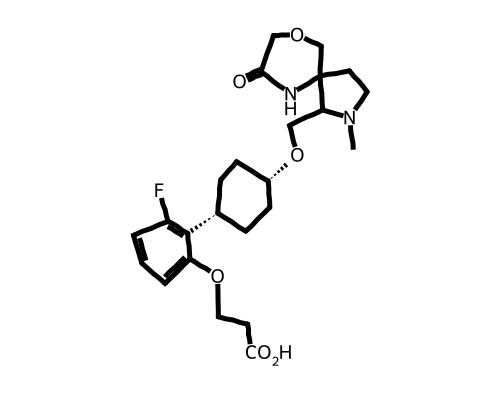 CN1CCC2(COCC(=O)N2)C1CO[C@H]1CC[C@@H](c2c(F)cccc2OCCC(=O)O)CC1